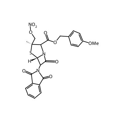 COc1ccc(COC(=O)C2N3C(=O)C(N4C(=O)c5ccccc5C4=O)[C@@H]3S[C@@]2(C)CO[N+](=O)[O-])cc1